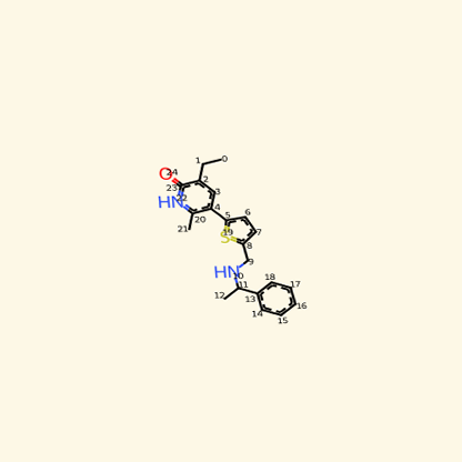 CCc1cc(-c2ccc(CNC(C)c3ccccc3)s2)c(C)[nH]c1=O